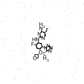 Cc1nnnn1-c1cc(Nc2ncc(F)c(N)n2)c(F)cc1OC1COC1